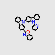 c1ccc(-n2c3ccccc3c3ccc(-n4c5ccccc5c5ccc(-c6nc7ccccc7o6)cc54)cc32)nc1